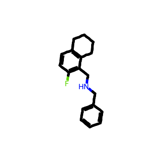 Fc1ccc2c(c1CNCc1ccccc1)CCCC2